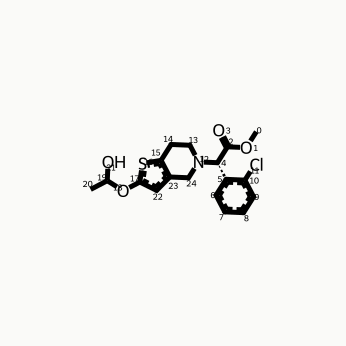 COC(=O)[C@H](c1ccccc1Cl)N1CCc2sc(OC(C)O)cc2C1